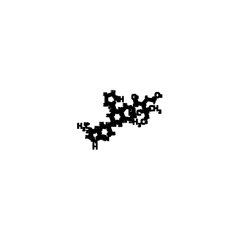 CCC(C)(C)C(CC=O)C(=O)N1CCc2cc(-c3cnc4[nH]cc(C)c4c3)cc(C3CCCN3)c2C1